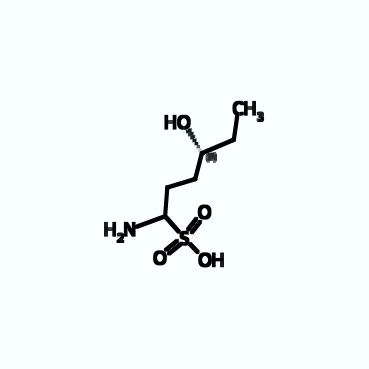 CC[C@@H](O)CCC(N)S(=O)(=O)O